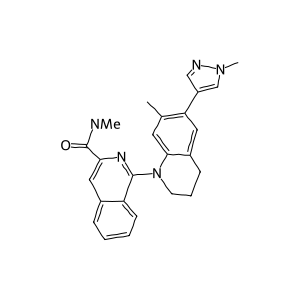 CNC(=O)c1cc2ccccc2c(N2CCCc3cc(-c4cnn(C)c4)c(C)cc32)n1